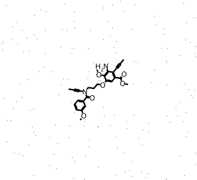 CC#Cc1c(C(=O)OC)cc(OCCCN(C#CC)C(=O)c2cccc(OC)c2)c(OC)c1N